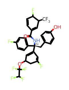 O=C(N[C@](Cc1ccc(O)cc1)(C1=CC(OC(F)(F)C(F)F)CC(F)=C1)c1ccc(F)cc1)C1=CC(C(F)(F)F)C(F)C=C1